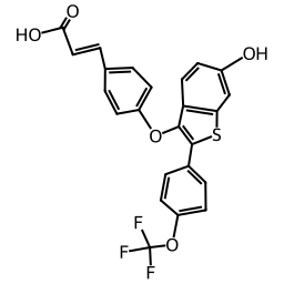 O=C(O)C=Cc1ccc(Oc2c(-c3ccc(OC(F)(F)F)cc3)sc3cc(O)ccc23)cc1